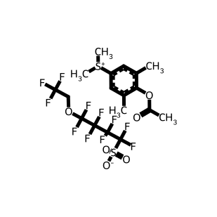 CC(=O)Oc1c(C)cc([S+](C)C)cc1C.O=S(=O)([O-])C(F)(F)C(F)(F)C(F)(F)C(F)(F)OCC(F)(F)F